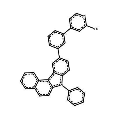 N#Cc1cc(-c2cccc(-c3ccc4c(c3)c3c5ccccc5ccc3n4-c3ccccc3)c2)ccn1